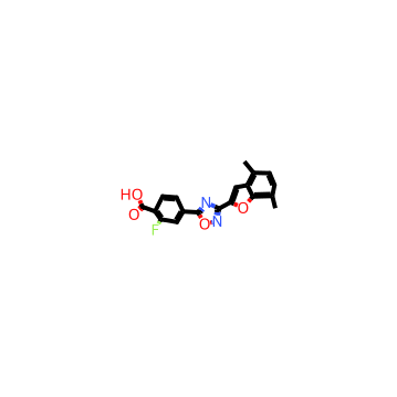 Cc1ccc(C)c2oc(-c3noc(-c4ccc(C(=O)O)c(F)c4)n3)cc12